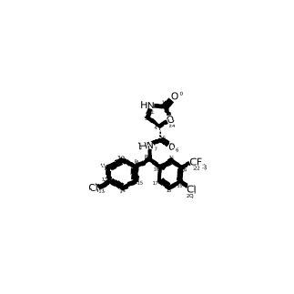 O=C1NC[C@@H](C(=O)NC(c2ccc(Cl)cc2)c2ccc(Cl)c(C(F)(F)F)c2)O1